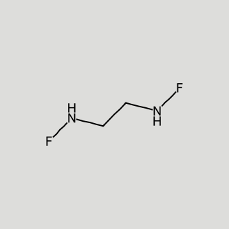 FNCCNF